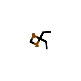 CCC1(CC)SCS1